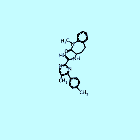 Cc1ccc(-c2nc(C(=N)NC3CCc4ccccc4N(C)C3=O)ncc2C)cc1